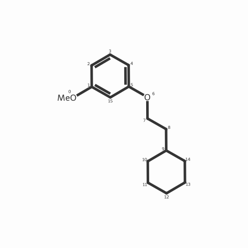 COc1cccc(OCCC2CCCCC2)c1